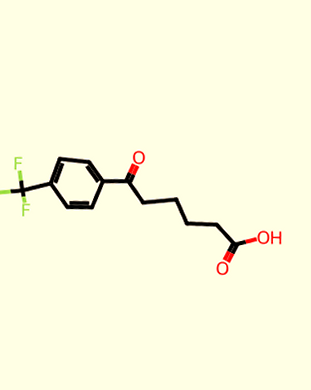 O=C(O)CCCCC(=O)c1ccc(C(F)(F)F)cc1